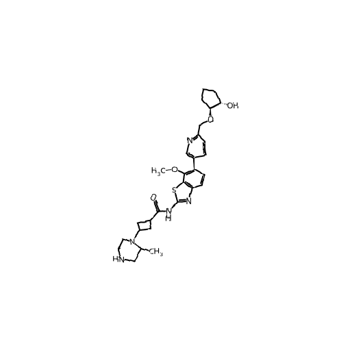 COc1c(-c2ccc(CO[C@H]3CCC[C@@H]3O)nc2)ccc2nc(NC(=O)C3CC(N4CCNCC4C)C3)sc12